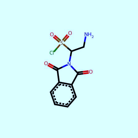 NCC(N1C(=O)c2ccccc2C1=O)S(=O)(=O)Cl